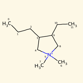 CCCC1C[N+](C)(C)CC1CC